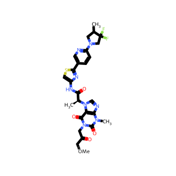 COCC(=O)Cn1c(=O)c2c(ncn2[C@@H](C)C(=O)Nc2csc(-c3ccc(N4CC(C)C(F)(F)C4)nc3)n2)n(C)c1=O